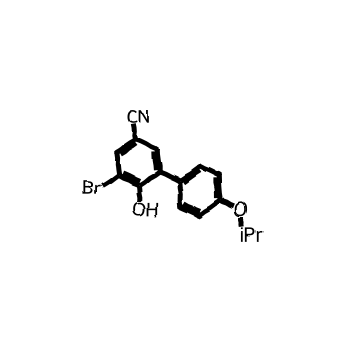 CC(C)Oc1ccc(-c2cc(C#N)cc(Br)c2O)cc1